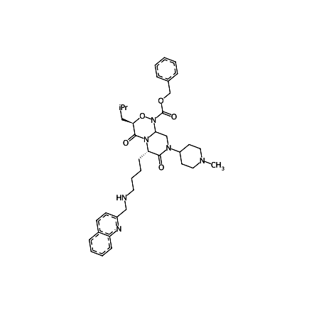 CC(C)C[C@H]1ON(C(=O)OCc2ccccc2)C2CN(C3CCN(C)CC3)C(=O)[C@H](CCCCNCc3ccc4ccccc4n3)N2C1=O